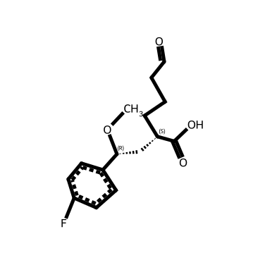 CO[C@H](C[C@H](CCCC=O)C(=O)O)c1ccc(F)cc1